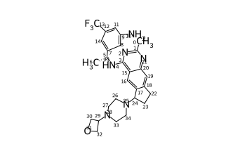 Cc1nc(N[C@H](C)c2cc(N)cc(C(F)(F)F)c2)c2cc3c(cc2n1)CCC3N1CCN(C2COC2)CC1